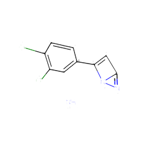 Clc1ccc(-c2cc3nn2-3)cc1Cl.N